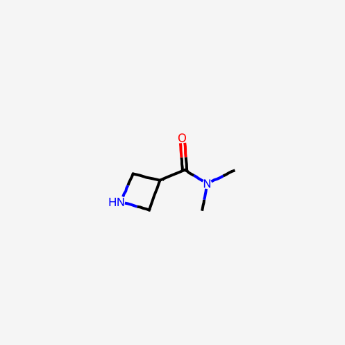 CN(C)C(=O)[C]1CNC1